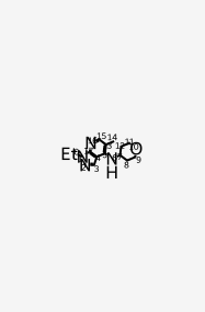 CCn1ncc2c(NC3CCOCC3)c(C)cnc21